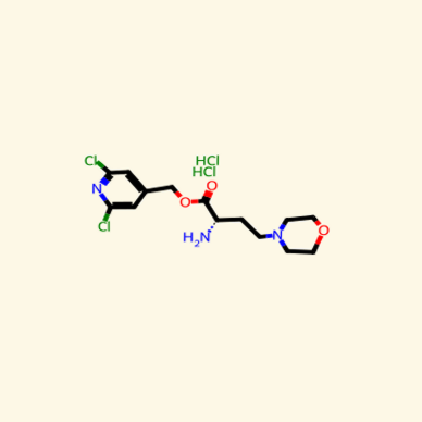 Cl.Cl.N[C@@H](CCN1CCOCC1)C(=O)OCc1cc(Cl)nc(Cl)c1